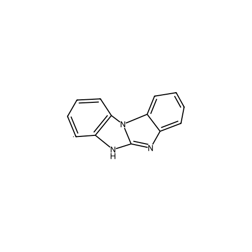 [c]1cccc2c1[nH]c1nc3ccccc3n12